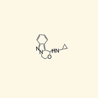 c1ccc2c3n(nc2c1)CCOC3CNC1CC1